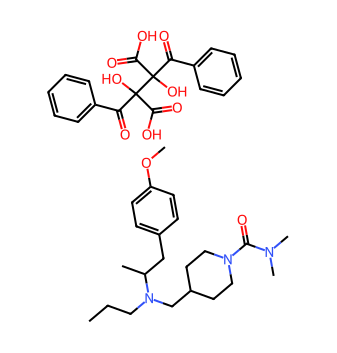 CCCN(CC1CCN(C(=O)N(C)C)CC1)C(C)Cc1ccc(OC)cc1.O=C(O)C(O)(C(=O)c1ccccc1)C(O)(C(=O)O)C(=O)c1ccccc1